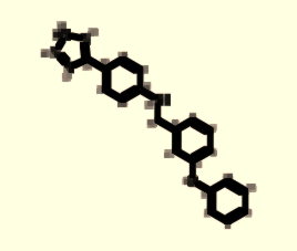 c1ccc(Oc2cccc(CNc3ccc(-c4nn[nH]n4)cc3)c2)cc1